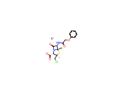 C[C@@]1(CCl)S[C@H]2[C@H](NC(=O)COc3ccccc3)C(=O)N2[C@H]1C(=O)[O-].[K+]